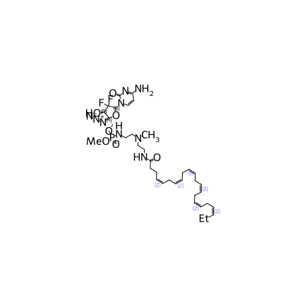 CC/C=C\C/C=C\C/C=C\C/C=C\C/C=C\C/C=C\CCC(=O)NCCN(C)CCNP(=O)(OC)OC[C@@]1(N=[N+]=[N-])O[C@@H](n2ccc(N)nc2=O)C(F)(F)[C@@H]1O